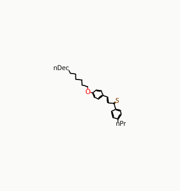 CCCCCCCCCCCCCCCCOc1ccc(C=CC(=S)c2ccc(CCC)cc2)cc1